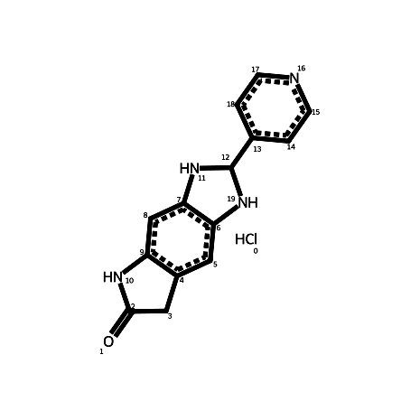 Cl.O=C1Cc2cc3c(cc2N1)NC(c1ccncc1)N3